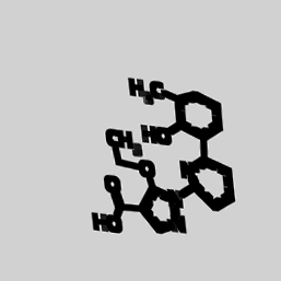 CCOc1c(C(=O)O)cnn1-c1cccc(-c2cccc(C)c2O)n1